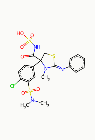 CN1C(=Nc2ccccc2)SCC1(C(=O)NS(=O)(=O)O)c1ccc(Cl)c(S(=O)(=O)N(C)C)c1